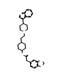 O=C(Cc1ccc2c(c1)OCO2)NC1CCC(CCN2CCC(c3coc4ccccc34)CC2)CC1